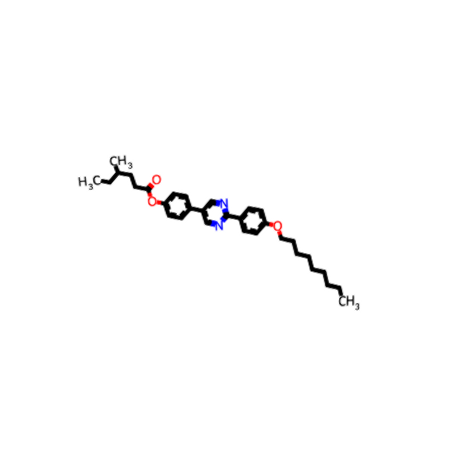 CCCCCCCCCOc1ccc(-c2ncc(-c3ccc(OC(=O)CCC(C)CC)cc3)cn2)cc1